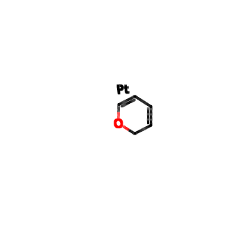 C1=CCOC=C1.[Pt]